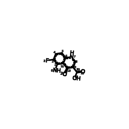 Nc1c(F)ccc2[nH]cc(C(=O)O)c(=O)c12